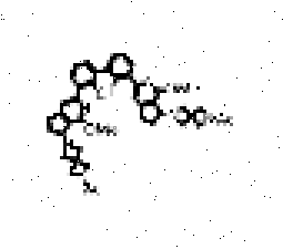 COc1nc(-c2cccc(-c3cccc(-c4cc5c(c(OC)n4)[C@H](N4CC6(CN(C(C)=O)C6)C4)CC5)c3Cl)c2F)cc2c1[C@H](N1CC3(CN(C(C)=O)C3)C1)CC2